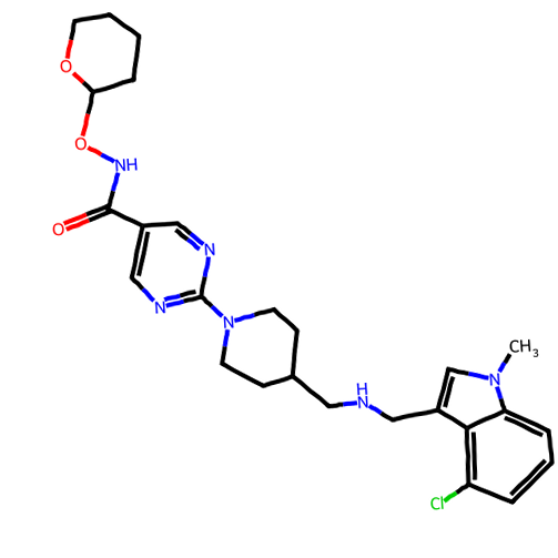 Cn1cc(CNCC2CCN(c3ncc(C(=O)NOC4CCCCO4)cn3)CC2)c2c(Cl)cccc21